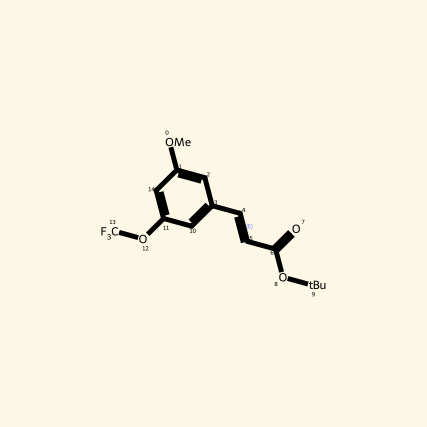 COc1cc(/C=C/C(=O)OC(C)(C)C)cc(OC(F)(F)F)c1